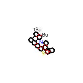 CC(C)(C)c1cc(-c2cccc3cccc(-c4ccccc4N(c4ccccc4-c4ccc5c(c4)oc4ccccc45)c4ccccc4-c4cccc5sc6ccccc6c45)c23)cc(C(C)(C)C)c1